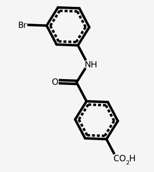 O=C(O)c1ccc(C(=O)Nc2cccc(Br)c2)cc1